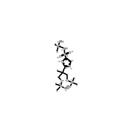 CC(CO[Si](C)(C)C(C)(C)C)(CO[Si](C)(C)C(C)(C)C)c1ncc(S(=O)(=O)N[Si](C)(C)C(C)(C)C)s1